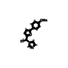 CCC(c1ccc(-c2ccc(OC)cc2)o1)n1ccnc1